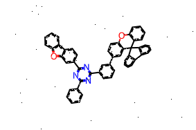 c1ccc(-c2nc(-c3cccc(-c4ccc5c(c4)C4(c6ccccc6O5)c5ccccc5-c5ccccc54)c3)nc(-c3ccc4c(c3)oc3ccccc34)n2)cc1